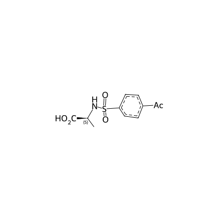 CC(=O)c1ccc(S(=O)(=O)N[C@@H](C)C(=O)O)cc1